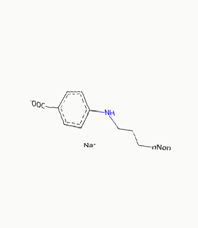 CCCCCCCCCCCCNc1ccc(C(=O)[O-])cc1.[Na+]